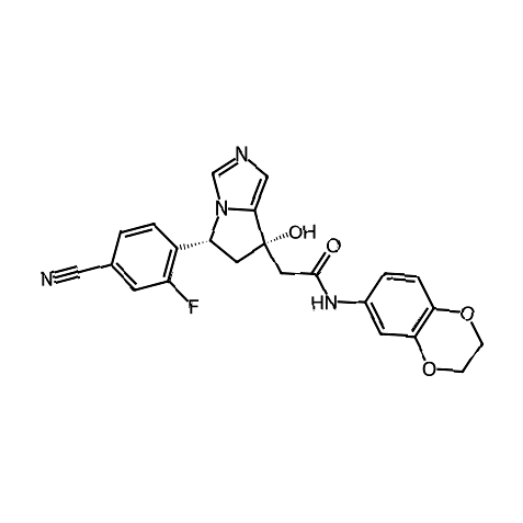 N#Cc1ccc([C@H]2C[C@](O)(CC(=O)Nc3ccc4c(c3)OCCO4)c3cncn32)c(F)c1